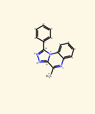 Cc1nc2ccccc2n2c(-c3ccccc3)nnc12